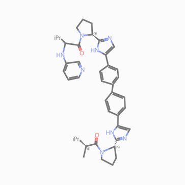 CC(C)C(Nc1cccnc1)C(=O)N1CCC[C@H]1c1ncc(-c2ccc(-c3ccc(-c4cnc([C@@H]5CCCN5C(=O)[C@@H](C)C(C)C)[nH]4)cc3)cc2)[nH]1